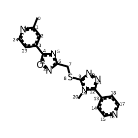 Cc1cc(-c2nc(CSc3nnc(-c4ccncc4)n3C)no2)ccn1